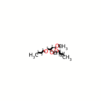 CCCCOCC(C[C@@H](OC)OCCCC)OC